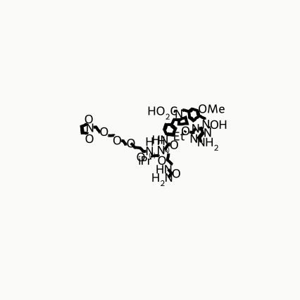 CCOc1nc(N)c2nc(O)n(Cc3ccc(CN(C(=O)O)C4(Cc5ccc(NC(=O)[C@H](CCCNC(N)=O)NC(=O)[C@@H](NC(=O)CCOCCOCCOCCN6C(=O)C=CC6=O)C(C)C)cc5)CCC4)cc3OC)c2n1